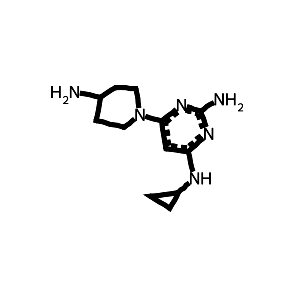 Nc1nc(NC2CC2)cc(N2CCC(N)CC2)n1